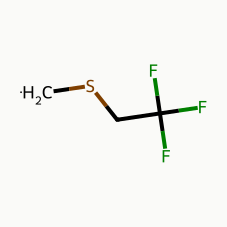 [CH2]SCC(F)(F)F